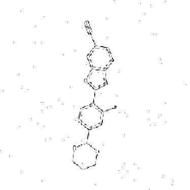 C#Cc1ccc2cc(-c3ccc(C4OCCCO4)cc3F)oc2c1